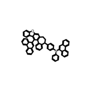 c1ccc(N(c2ccc(C3CCc4cc5oc6ccccc6c5c(-c5cc6ccccc6c6ccccc56)c4-c4ccccc43)cc2)c2cc3ccccc3c3ccccc23)cc1